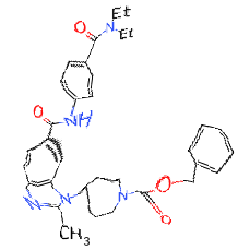 CCN(CC)C(=O)c1ccc(NC(=O)c2ccc3nc(C)n(C4CCN(C(=O)OCc5ccccc5)CC4)c3c2)cc1